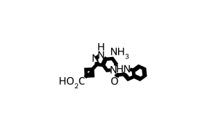 N.O=C(c1cc2ccccc2[nH]1)N1CCc2[nH]nc(C34CC(C(=O)O)(C3)C4)c2C1